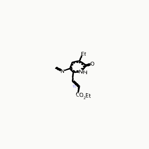 C=Nc1cc(CC)c(=O)[nH]c1/C=C/C(=O)OCC